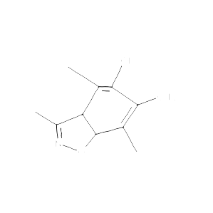 CC1=NOC2C(C)=C(C=O)C(O)=C(C)C12